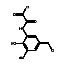 CCC(=O)C(=O)Nc1cc(CCl)cc(C(C)(C)C)c1O